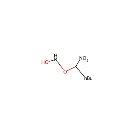 CCCCC(OBO)[N+](=O)[O-]